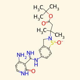 CC(C)(C)OC(=O)CC(C)(C)N1Cc2cc(NC(=N)c3c(N)cc[nH]c3=O)ccc2[S+]1[O-]